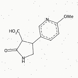 COc1ccc(C2CNC(=O)C2C(=O)O)cn1